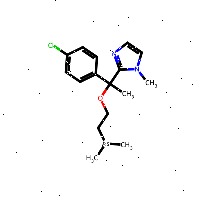 Cn1ccnc1C(C)(OCC[As](C)C)c1ccc(Cl)cc1